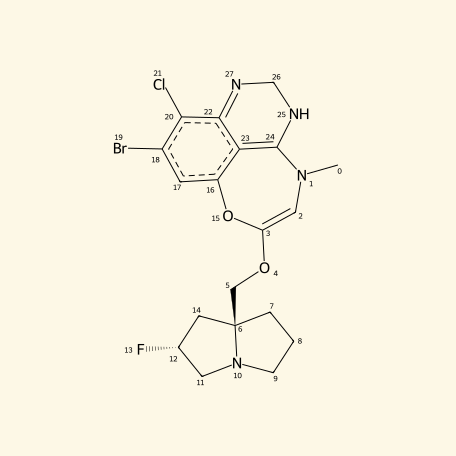 CN1C=C(OC[C@@]23CCCN2C[C@H](F)C3)Oc2cc(Br)c(Cl)c3c2=C1NCN=3